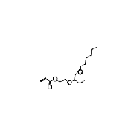 C=CC(=O)OCCOC(CC)COCCCCCC